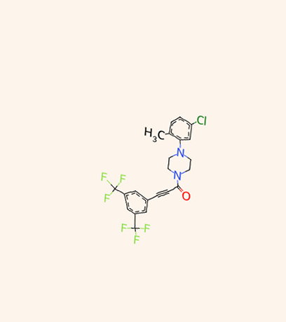 Cc1ccc(Cl)cc1N1CCN(C(=O)C#Cc2cc(C(F)(F)F)cc(C(F)(F)F)c2)CC1